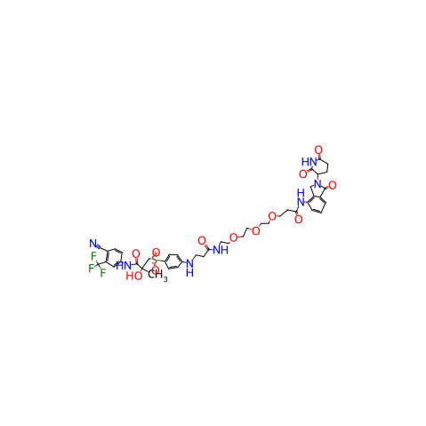 CC(O)(CS(=O)(=O)c1ccc(NCCC(=O)NCCOCCOCCOCCC(=O)Nc2cccc3c2CN(C2CCC(=O)NC2=O)C3=O)cc1)C(=O)Nc1ccc(C#N)c(C(F)(F)F)c1